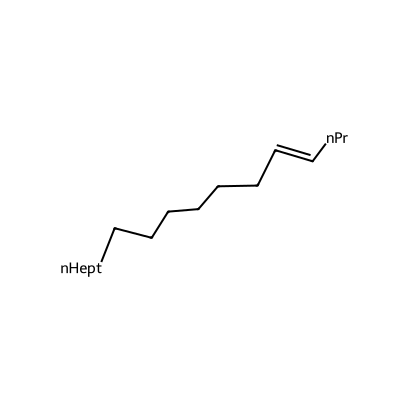 CCC/C=C/CCCCCCCCCCCCC